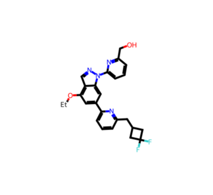 CCOc1cc(-c2cccc(CC3CC(F)(F)C3)n2)cc2c1cnn2-c1cccc(CO)n1